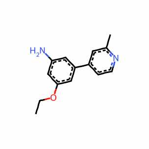 CCOc1cc(N)cc(-c2ccnc(C)c2)c1